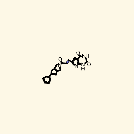 O=C1CNC(=O)c2cc(/C=C/C(=O)N3CC4C=C(c5ccccc5)CC4C3)cnc2N1